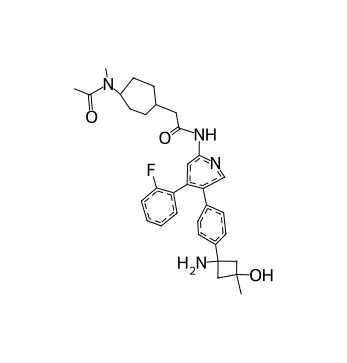 CC(=O)N(C)C1CCC(CC(=O)Nc2cc(-c3ccccc3F)c(-c3ccc(C4(N)CC(C)(O)C4)cc3)cn2)CC1